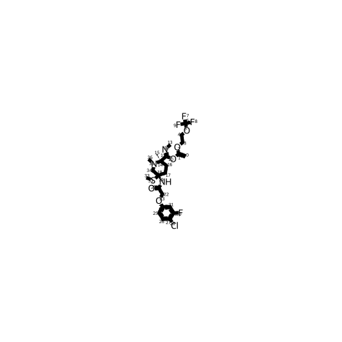 C=C(OCCOC(F)(F)F)O/C(=N\C)[C@@]1(C)CC[C@](NC(=O)COc2ccc(Cl)c(F)c2)(SC)CN1C